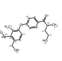 Cc1c(Oc2cnc(C(=O)N(C)CCO)cn2)ccc(CO)c1BO